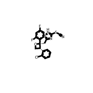 N#CSc1nc(C[C@@]2(c3ccc(F)cc3F)OC[C@H]2c2ccccc2Cl)n[nH]1